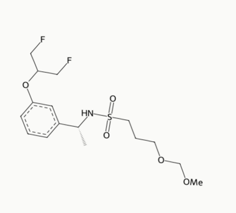 COCOCCCS(=O)(=O)N[C@H](C)c1cccc(OC(CF)CF)c1